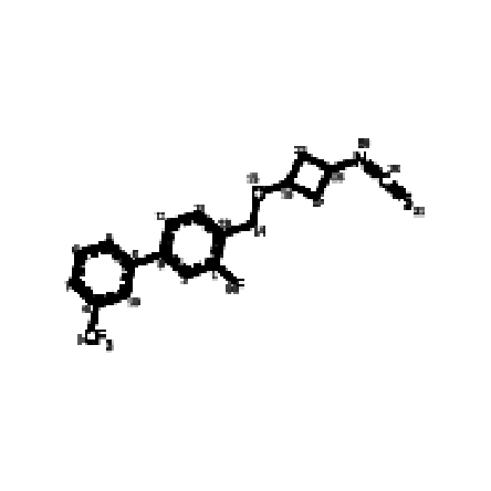 Fc1cc(-c2cccc(C(F)(F)F)c2)ccc1COC1CC(N=C=S)C1